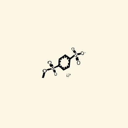 COS(=O)(=O)c1ccc(S(=O)(=O)[O-])cc1.[Li+]